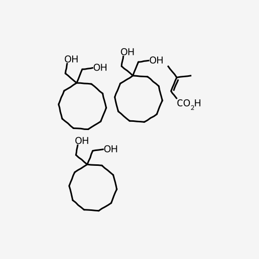 CC(C)=CC(=O)O.OCC1(CO)CCCCCCCCC1.OCC1(CO)CCCCCCCCC1.OCC1(CO)CCCCCCCCC1